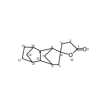 O=C1CCC2(CC3CC2C2C4CCC(C4)C32)O1